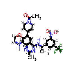 CC(=O)N1CC=C(c2cc3c(N[C@H](C)c4cc([N+](=O)[O-])cc(C(F)(F)F)c4)nc(C)nc3c3c2OCCN3)CC1